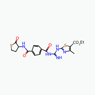 CCOC(=O)c1sc(NC(=N)NC(=O)c2ccc(C(=O)NC3CCSC3=O)cc2)nc1C